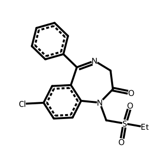 CCS(=O)(=O)CN1C(=O)CN=C(c2ccccc2)c2cc(Cl)ccc21